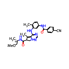 COC[C@H](C)NC(=O)C1CN2N=CN=C(Nc3cc(NC(=O)c4ccc(C#N)cc4)ccc3C)C2=C1C